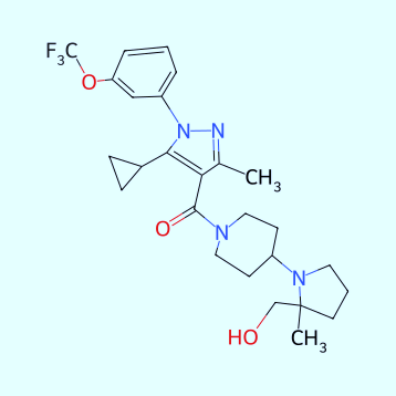 Cc1nn(-c2cccc(OC(F)(F)F)c2)c(C2CC2)c1C(=O)N1CCC(N2CCCC2(C)CO)CC1